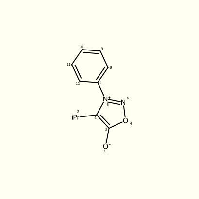 CC(C)c1c([O-])on[n+]1-c1ccccc1